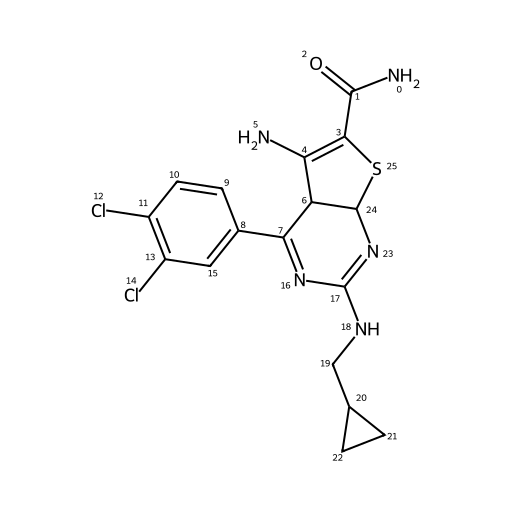 NC(=O)C1=C(N)C2C(c3ccc(Cl)c(Cl)c3)=NC(NCC3CC3)=NC2S1